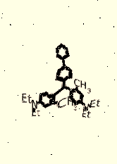 CCN(CC)c1ccc(C(c2ccc(-c3ccccc3)cc2)c2ccc(N(CC)CC)cc2C)c(C)c1